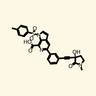 Cc1ccc(S(=O)(=O)n2ccc3cc(-c4cccc(C#C[C@]5(O)CCN(C)C5=O)c4)nc(C(=O)O)c32)cc1